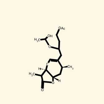 CC(=O)OCCC(CC1=CC[C@@H]2C(C)C(=O)O[C@H]2C[C@@H]1C)OC(C)O